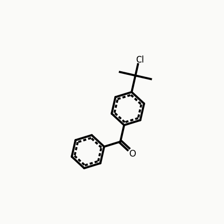 CC(C)(Cl)c1ccc(C(=O)c2ccccc2)cc1